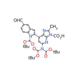 Cc1nc2c(-c3cc4cc(C=O)ccc4n3C(=O)OC(C)(C)C)cc(N(C(=O)OC(C)(C)C)C(=O)OC(C)(C)C)nc2n1C(=O)O